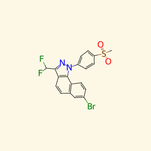 CS(=O)(=O)c1ccc(-n2nc(C(F)F)c3ccc4cc(Br)ccc4c32)cc1